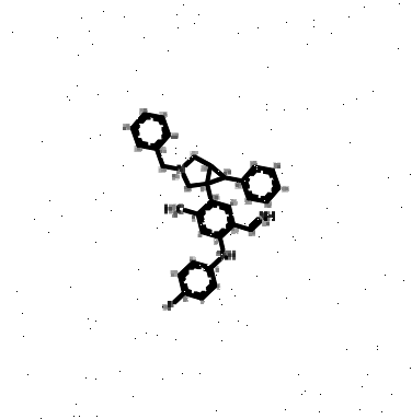 Cc1cc(Nc2ccc(F)cc2)c(C=N)cc1C12CN(Cc3ccccc3)CC1C2c1ccccc1